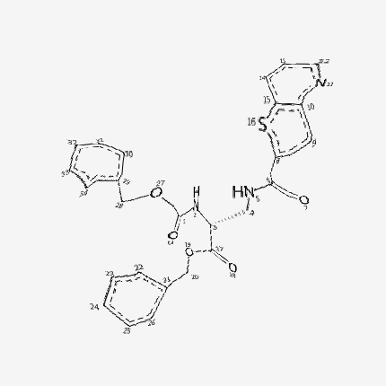 O=C(N[C@H](CNC(=O)c1cc2ncccc2s1)C(=O)OCc1ccccc1)OCc1ccccc1